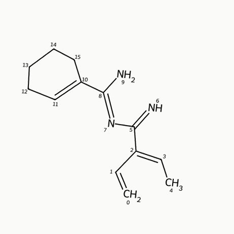 C=C/C(=C\C)C(=N)/N=C(\N)C1=CCCCC1